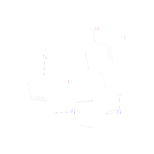 O=[N+]([O-])c1ccc(CN2CCc3noc(-c4cc(Cl)c(O)cc4O)c3C2)s1